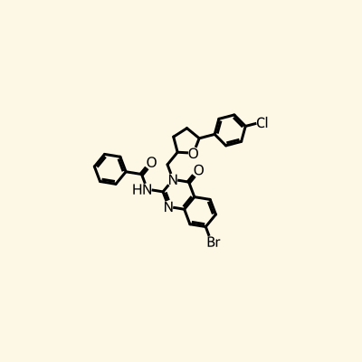 O=C(Nc1nc2cc(Br)ccc2c(=O)n1CC1CCC(c2ccc(Cl)cc2)O1)c1ccccc1